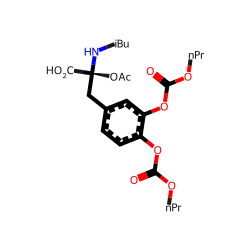 CCCOC(=O)Oc1ccc(C[C@](NC(C)CC)(OC(C)=O)C(=O)O)cc1OC(=O)OCCC